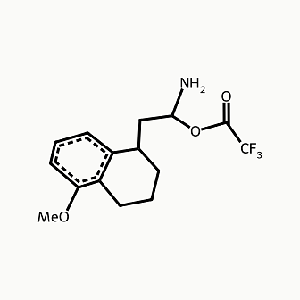 COc1cccc2c1CCCC2CC(N)OC(=O)C(F)(F)F